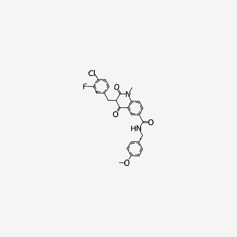 COc1ccc(CNC(=O)c2ccc3c(c2)C(=O)C(Cc2ccc(Cl)c(F)c2)C(=O)N3C)cc1